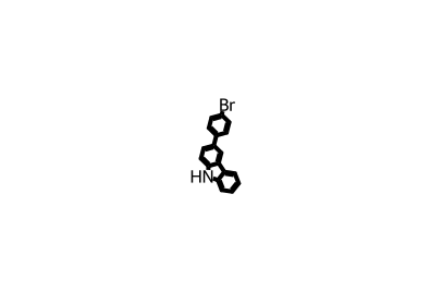 Brc1ccc(-c2ccc3[nH]c4ccccc4c3c2)cc1